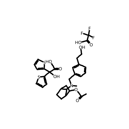 CC(=O)OC1CC2CCC1C2N(C)Cc1cccc(CCO)c1.O=C(O)C(F)(F)F.O=C(O)C(O)(c1cccs1)c1cccs1